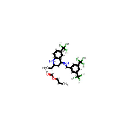 CCC1CC(NCc2cc(C(F)(F)F)cc(C(F)(F)F)c2)c2cc(C(F)(F)F)ccc2N1.CCCOC=O